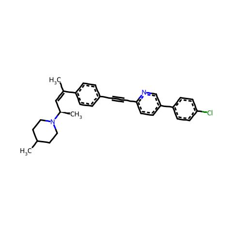 CC(=C[C@@H](C)N1CCC(C)CC1)c1ccc(C#Cc2ccc(-c3ccc(Cl)cc3)cn2)cc1